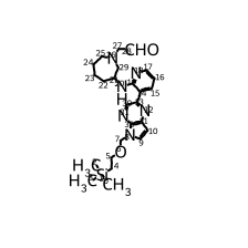 C[Si](C)(C)CCOCn1ccc2nc(-c3cccnc3NC3CCCCN(CC=O)C3)cnc21